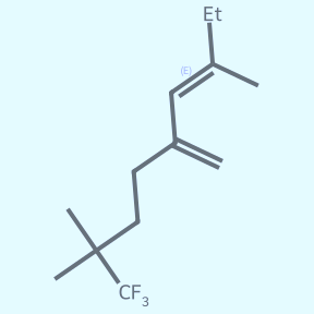 C=C(/C=C(\C)CC)CCC(C)(C)C(F)(F)F